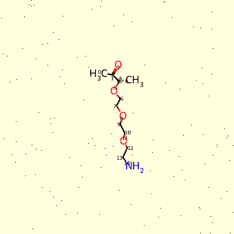 CC(=O)[C@H](C)OCCOCCOCCN